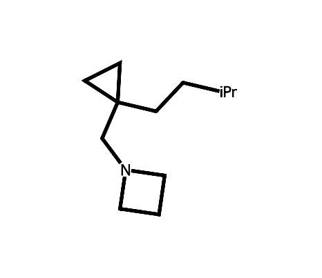 CC(C)CCC1(CN2CCC2)CC1